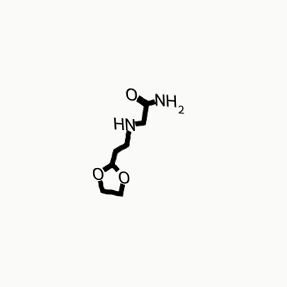 NC(=O)CNCCC1OCCO1